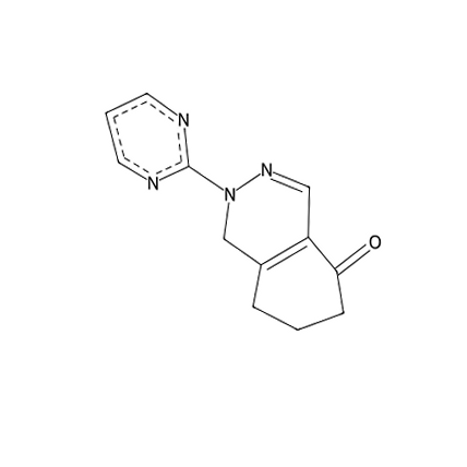 O=C1CCCC2=C1C=NN(c1ncccn1)C2